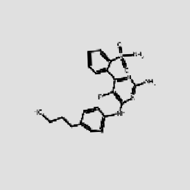 Nc1nc(Nc2ccc(CCCO)cc2)c(F)c(-c2ccccc2S(N)(=O)=O)n1